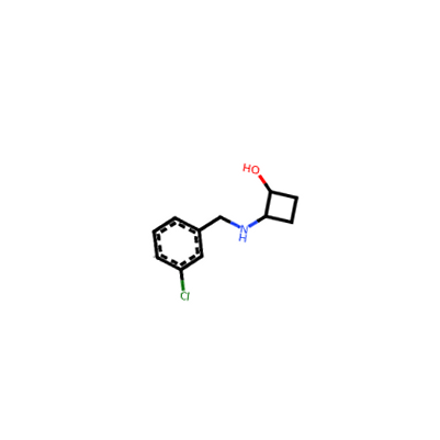 OC1CCC1NCc1cc[c]c(Cl)c1